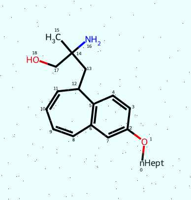 CCCCCCCOc1ccc2c(c1)C=CC=CC2CC(C)(N)CO